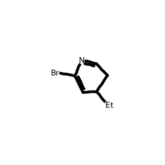 CCC1C=C(Br)N=CC1